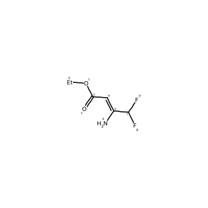 CCOC(=O)C=C(N)C(F)F